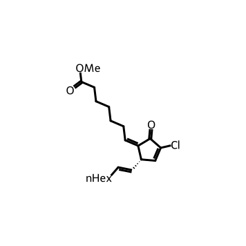 CCCCCCC=C[C@H]1C=C(Cl)C(=O)C1=CCCCCCC(=O)OC